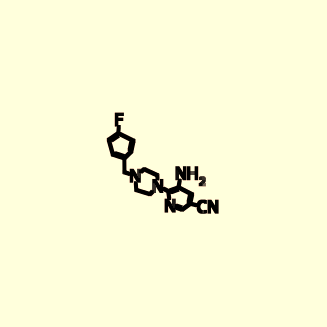 N#Cc1cnc(N2CCN(Cc3ccc(F)cc3)CC2)c(N)c1